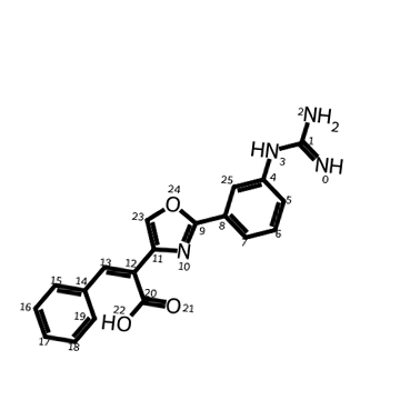 N=C(N)Nc1cccc(-c2nc(C(=Cc3ccccc3)C(=O)O)co2)c1